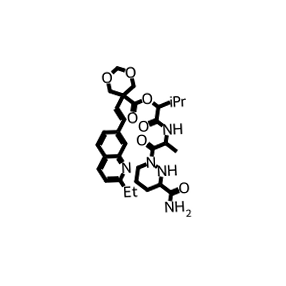 CCc1ccc2ccc(/C=C/C3(C(=O)OC(C(=O)NC(C)C(=O)N4CCCC(C(N)=O)N4)C(C)C)COCOC3)cc2n1